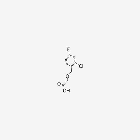 O=C(O)COCc1ccc(F)cc1Cl